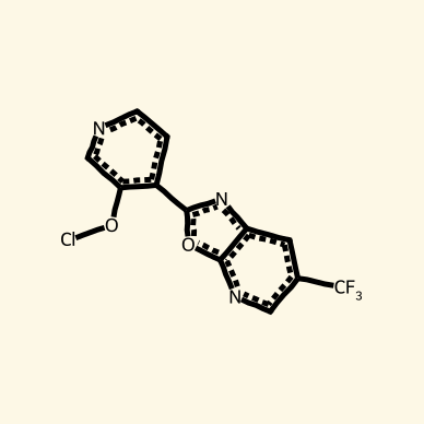 FC(F)(F)c1cnc2oc(-c3ccncc3OCl)nc2c1